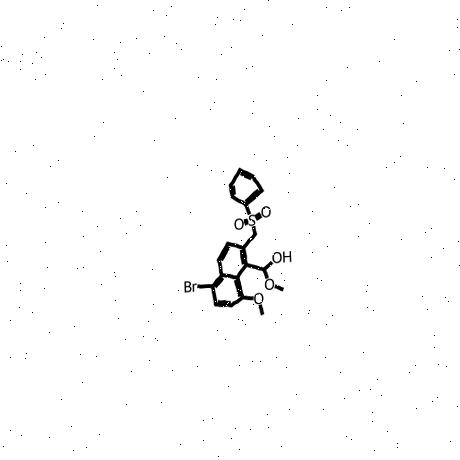 COc1ccc(Br)c2ccc(CS(=O)(=O)c3ccccc3)c(C(O)OC)c12